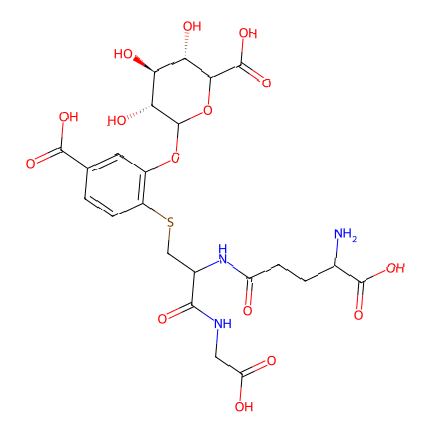 NC(CCC(=O)NC(CSc1ccc(C(=O)O)cc1OC1OC(C(=O)O)[C@@H](O)[C@H](O)[C@H]1O)C(=O)NCC(=O)O)C(=O)O